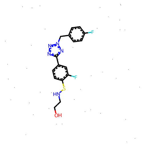 OCCNSc1ccc(-c2nnn(Cc3ccc(F)cc3)n2)cc1F